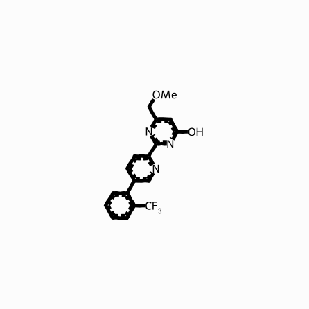 COCc1cc(O)nc(-c2ccc(-c3ccccc3C(F)(F)F)cn2)n1